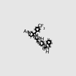 CC(=O)N1CCc2c(c(-c3ccc(C(F)(F)F)cc3)nn2CC(O)CN2CCC(N3C(=O)NCc4ccccc43)CC2)C1